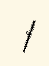 CCCCCCCCCCCCCCCCCC(C=O)CCCCCCCCCCCCCCC